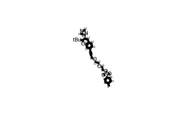 Cc1ccc(S(=O)(=O)OCCOCCOCC#Cc2ccc(/C=C(\C(O)C(C)(C)C)n3cncn3)cc2)cc1